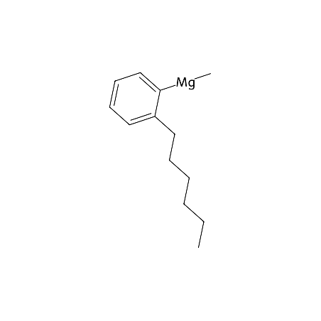 CCCCCCc1cccc[c]1[Mg][CH3]